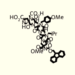 COC(=O)[C@]1(NC(=O)OCC2c3ccccc3-c3ccccc32)C[C@H]2C(=O)N(CC(C)C)[C@@]3(C[C@@H]4C(=O)N(Cc5ccc(OC)cc5)[C@@]5(C[C@@H]6C(=O)N(CC(=O)O)[C@@]7(CN[C@H](C(=O)O)C7)C(=O)N6C5)C(=O)N4C3)C(=O)N2C1